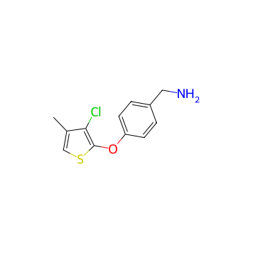 Cc1csc(Oc2ccc(CN)cc2)c1Cl